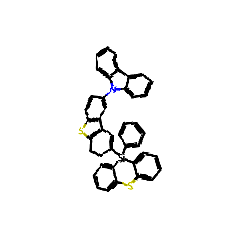 C1=C([Si]2(c3ccccc3)c3ccccc3Sc3ccccc32)CCc2sc3ccc(-n4c5ccccc5c5ccccc54)cc3c21